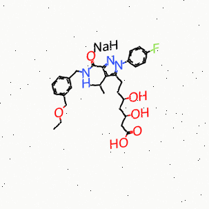 CCOCc1cccc(CNC(=O)c2nn(-c3ccc(F)cc3)c(CC[C@@H](O)C[C@@H](O)CC(=O)O)c2C(C)C)c1.[NaH]